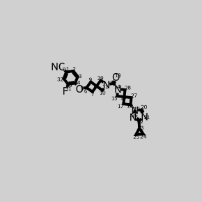 N#Cc1ccc(OC2CC3(C2)CN(C(=O)N2CC4(CC(n5cnc(C6CC6)n5)C4)C2)C3)c(F)c1